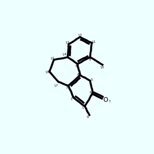 CC1=CC2=C(CC1=O)c1c(C)cccc1CCC2